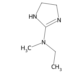 CCN(C)C1=NCCN1